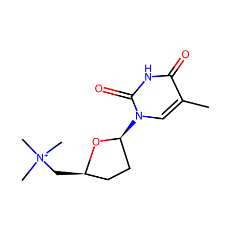 Cc1cn([C@H]2CC[C@@H](C[N+](C)(C)C)O2)c(=O)[nH]c1=O